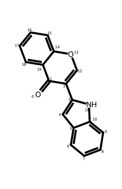 O=c1c(-c2cc3ccccc3[nH]2)coc2ccccc12